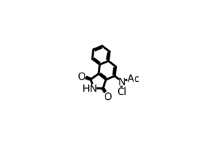 CC(=O)N(Cl)c1cc2ccccc2c2c1C(=O)NC2=O